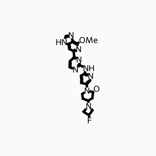 COc1nc(-c2ccnc(Nc3ccc(N4CCC(N5CC(F)C5)CC4=O)cn3)n2)cc2[nH]cnc12